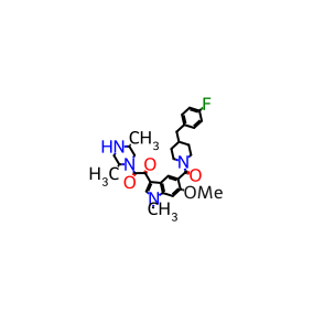 COc1cc2c(cc1C(=O)N1CCC(Cc3ccc(F)cc3)CC1)c(C(=O)C(=O)N1C[C@@H](C)NC[C@@H]1C)cn2C